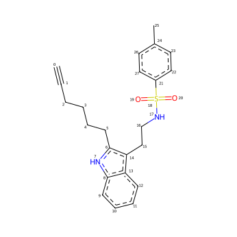 C#CCCCCc1[nH]c2ccccc2c1CCNS(=O)(=O)c1ccc(C)cc1